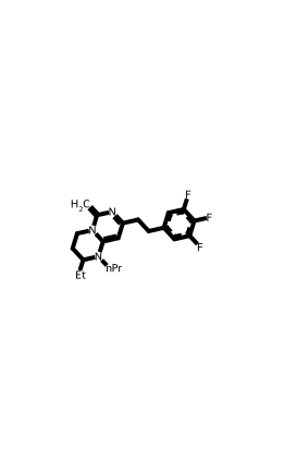 C=C1N=C(CCc2cc(F)c(F)c(F)c2)C=C2N1CCC(CC)N2CCC